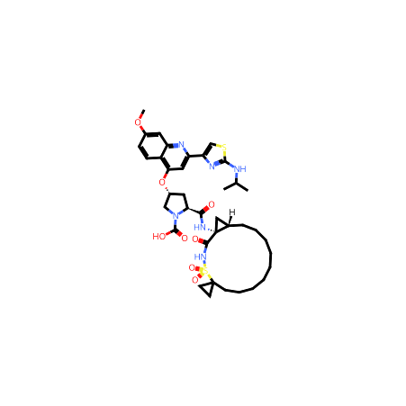 COc1ccc2c(O[C@@H]3C[C@@H](C(=O)N[C@]45C[C@@H]4CCCCCCCCCC4(CC4)S(=O)(=O)NC5=O)N(C(=O)O)C3)cc(-c3csc(NC(C)C)n3)nc2c1